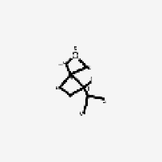 CC(C)C1(C)CCC12COC2